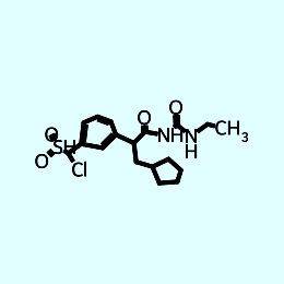 CCNC(=O)NC(=O)C(CC1CCCC1)c1cccc(C(Cl)[SH](=O)=O)c1